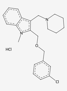 Cl.Cn1c(COCc2cccc(Cl)c2)c(CN2CCCCC2)c2ccccc21